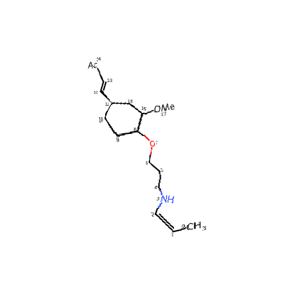 C/C=C\NCCCOC1CC[C@@H](/C=C/C(C)=O)CC1OC